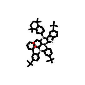 CC(C)(C)c1ccc(N2c3cc(C(C)(C)C)ccc3B3c4sc5ccc(C(C)(C)C)cc5c4N(c4ccc5c(c4)C(C)(C)CCC5(C)C)c4cccc2c43)c(-c2ccccc2)c1